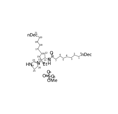 CCCCCCCCCCCCCCCCCC(=O)NC(C)C(CC)(CCCCCCCCCCCCCCCC)[N+]1=CNCC1.COS(=O)(=O)[O-]